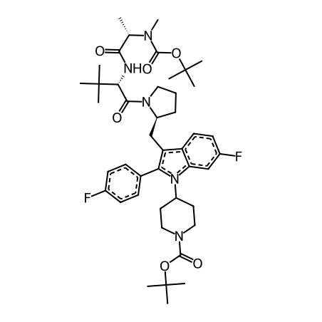 C[C@@H](C(=O)N[C@H](C(=O)N1CCC[C@H]1Cc1c(-c2ccc(F)cc2)n(C2CCN(C(=O)OC(C)(C)C)CC2)c2cc(F)ccc12)C(C)(C)C)N(C)C(=O)OC(C)(C)C